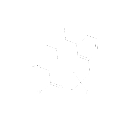 CC(CC(N)C(=O)O)C(C)c1cccc(OC(F)(F)F)c1